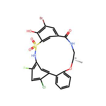 C[C@H]1CNC(=O)c2cc(Br)c(O)c(c2)S(=O)(=O)Nc2cc(c(Cl)cc2F)-c2ccccc2O1